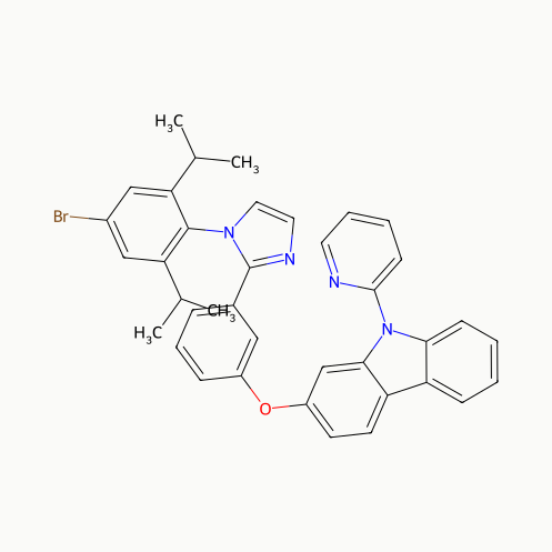 CC(C)c1cc(Br)cc(C(C)C)c1-n1ccnc1-c1cccc(Oc2ccc3c4ccccc4n(-c4ccccn4)c3c2)c1